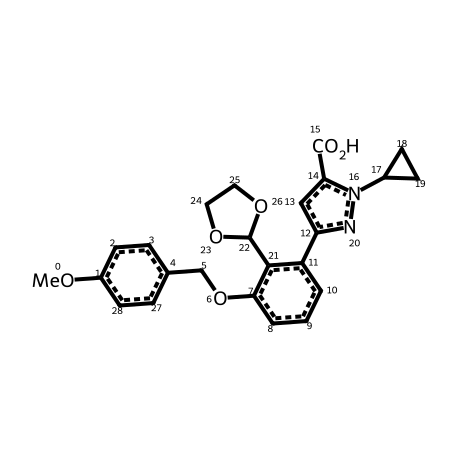 COc1ccc(COc2cccc(-c3cc(C(=O)O)n(C4CC4)n3)c2C2OCCO2)cc1